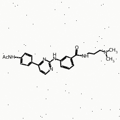 CC(=O)Nc1ccc(-c2ccnc(Nc3cccc(C(=O)NCCCN(C)C)c3)n2)cc1